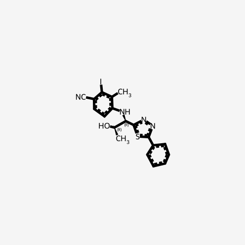 Cc1c(N[C@@H](c2nnc(-c3ccccc3)s2)[C@@H](C)O)ccc(C#N)c1I